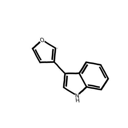 [c]1occc1-c1c[nH]c2ccccc12